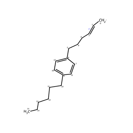 [CH2]/C=C/CCCc1ccc(CCCCCC)cc1